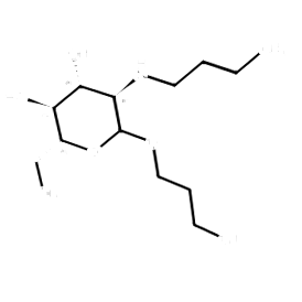 CCCCN[C@H]1C(OCCCC)O[C@H](CO)[C@@H](O)[C@@H]1O